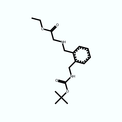 CCOC(=O)CNCc1ccccc1CNC(=O)OC(C)(C)C